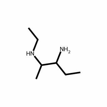 CCNC(C)C(N)CC